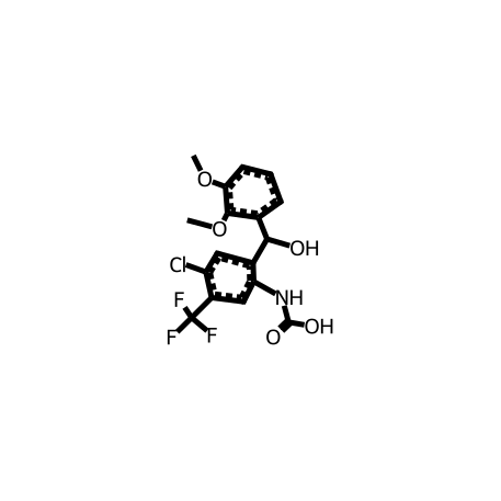 COc1cccc(C(O)c2cc(Cl)c(C(F)(F)F)cc2NC(=O)O)c1OC